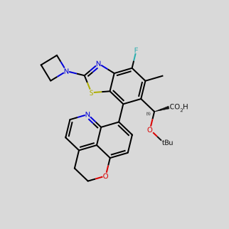 Cc1c([C@H](OC(C)(C)C)C(=O)O)c(-c2ccc3c4c(ccnc24)CCO3)c2sc(N3CCC3)nc2c1F